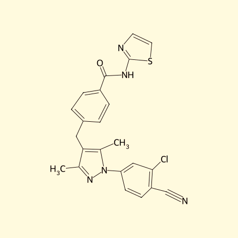 Cc1nn(-c2ccc(C#N)c(Cl)c2)c(C)c1Cc1ccc(C(=O)Nc2nccs2)cc1